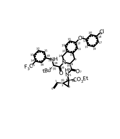 C=C[C@@H]1C[C@]1(NC(=O)[C@@H]1Cc2cc(Oc3cccc(Cl)c3)ccc2CN1C(=O)[C@@H](Nc1cccc(C(F)(F)F)c1)C(C)(C)C)C(=O)OCC